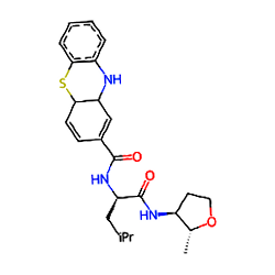 CC(C)C[C@@H](NC(=O)C1=CC2Nc3ccccc3SC2C=C1)C(=O)N[C@H]1CCO[C@@H]1C